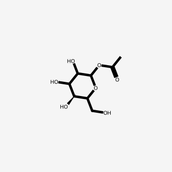 CC(=O)OC1OC(CO)[C@@H](O)C(O)C1O